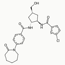 O=C(N[C@@H]1C[C@@H](CO)C[C@H]1NC(=O)c1ccc(Cl)s1)c1ccc(N2CCCCCC2=O)cc1